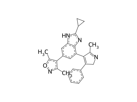 CC1=NCC(c2ccccc2)=C1c1cc(-c2c(C)noc2C)cc2[nH]c(C3CC3)nc12